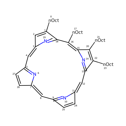 CCCCCCCCC1=CC2=CC3=NC(=CC4=NC(=CC5=NC(=C(CCCCCCCC)C1=N2)C(CCCCCCCC)=C5CCCCCCCC)C=C4)C=C3